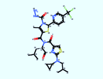 CC1=C(C(=O)N(C(=O)c2csc(N(CC(C)C)C3CC3)n2)[C@H]([C]=O)CC(C)C)SC(c2ccc(C(F)(F)F)cn2)N1C(=O)NN